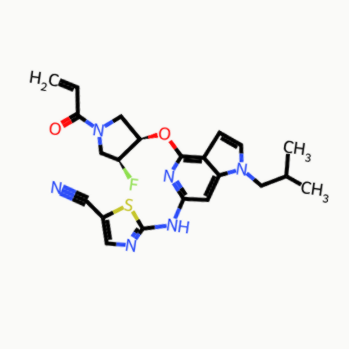 C=CC(=O)N1C[C@H](F)[C@H](Oc2nc(Nc3ncc(C#N)s3)cc3c2ccn3CC(C)C)C1